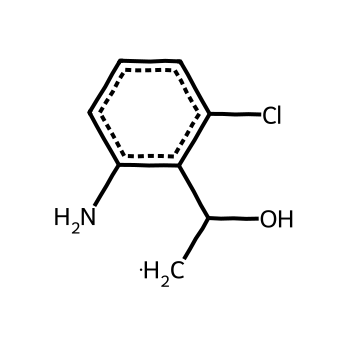 [CH2]C(O)c1c(N)cccc1Cl